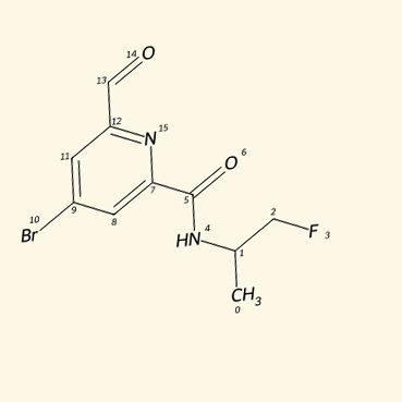 CC(CF)NC(=O)c1cc(Br)cc(C=O)n1